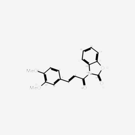 COc1ccc(C=CC(=O)n2c(=O)oc3ccccc32)cc1OC